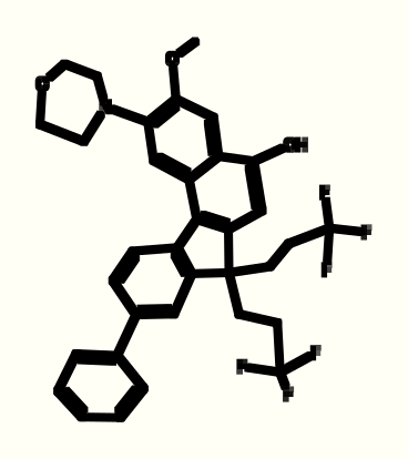 COc1cc2c(O)cc3c(c2cc1N1CCOCC1)-c1ccc(-c2ccccc2)cc1C3(CCC(F)(F)F)CCC(F)(F)F